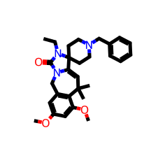 CCN1C(=O)N2Cc3cc(OC)cc(OC)c3C(C)(C)C=C2C12CCN(Cc1ccccc1)CC2